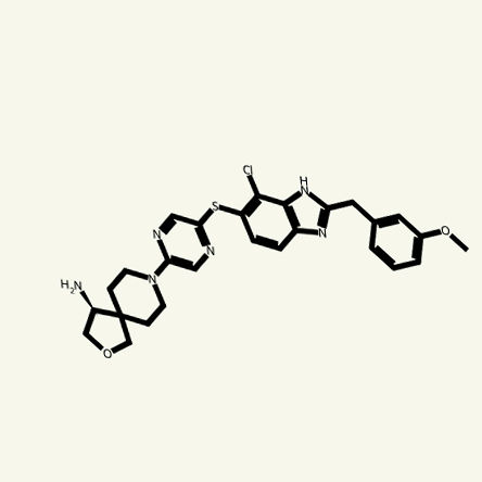 COc1cccc(Cc2nc3ccc(Sc4cnc(N5CCC6(CC5)COC[C@H]6N)cn4)c(Cl)c3[nH]2)c1